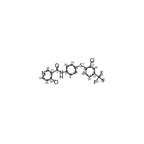 O=C(Nc1ccc(Sc2ncc(C(F)(F)F)cc2Cl)cc1)c1cnccc1Cl